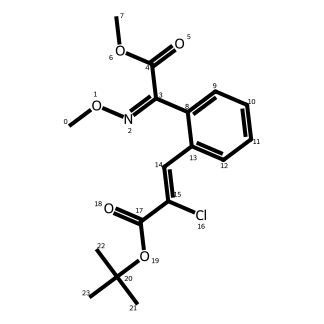 CON=C(C(=O)OC)c1ccccc1/C=C(\Cl)C(=O)OC(C)(C)C